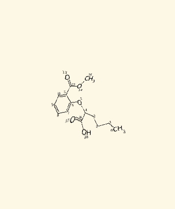 CCCCC(Oc1ccccc1C(=O)OC)C(=O)O